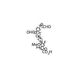 COc1c(N2CCN(C(=O)CC(C)(C)c3cc(P(C)(=O)CC=O)ccc3OC=O)C(C)C2)c(F)cc2c(=O)c(C(=O)O)cn(C3CC3)c12